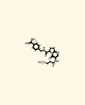 C[C@@H](CCC(=O)O)Nc1cnc2n(c1=O)C(C(=O)NCc1ccc(C(=N)N)cc1)CC2